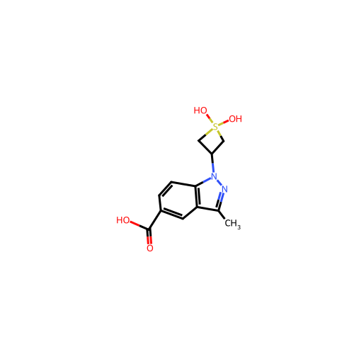 Cc1nn(C2CS(O)(O)C2)c2ccc(C(=O)O)cc12